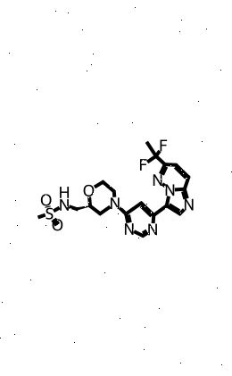 CC(F)(F)c1ccc2ncc(-c3cc(N4CCO[C@H](CNS(C)(=O)=O)C4)ncn3)n2n1